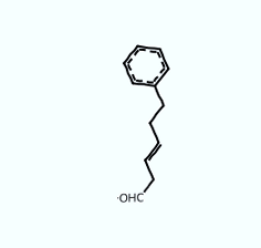 O=[C]C/C=C/CCc1ccccc1